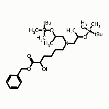 CC(CN(CCCCC(O)C(=O)OCc1ccccc1)CC(C)O[Si](C)(C)C(C)(C)C)O[Si](C)(C)C(C)(C)C